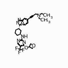 CCN(CC)CC#Cc1ccn2c([C@H]3CCC[C@@H](Nc4ncc(C(F)(F)F)c(OC5COC5)n4)C3)nnc2c1